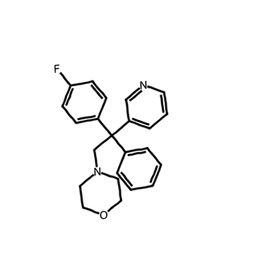 Fc1ccc(C(CN2CCOCC2)(c2ccccc2)c2cccnc2)cc1